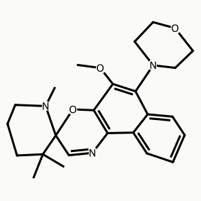 COc1c2c(c3ccccc3c1N1CCOCC1)N=CC1(O2)N(C)CCCC1(C)C